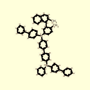 Cc1ccc(N(c2ccc(-c3ccccc3)cc2)c2ccc(-c3ccc(N(c4ccccc4)c4ccc(-c5ccccc5)cc4)cc3)cc2)cc1-c1c(C)ccc2ccccc12